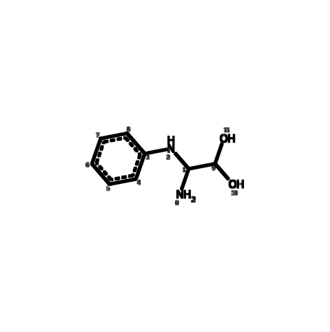 NC(Nc1ccccc1)C(O)O